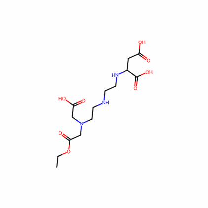 CCOC(=O)CN(CCNCCNC(CC(=O)O)C(=O)O)CC(=O)O